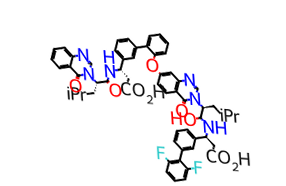 CC(C)C[C@@H](C(=O)N[C@@H](CC(=O)O)c1cccc(-c2ccccc2Oc2ccc3c(=O)n([C@@H](CC(C)C)C(O)N[C@@H](CC(=O)O)c4cccc(-c5c(F)cccc5F)c4)cnc3c2)c1)n1cnc2ccccc2c1=O